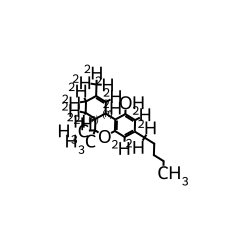 [2H]C1=C(C([2H])([2H])[2H])C([2H])([2H])C([2H])([2H])[C@@]2([2H])C(C)(C)Oc3c([2H])c(C([2H])([2H])CCCC)c([2H])c(O)c3[C@]12[2H]